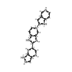 c1cc2[nH]c(-[n+]3ccc4[nH]c(-c5cnc6cn[nH]c6n5)nc4c3)cc2cn1